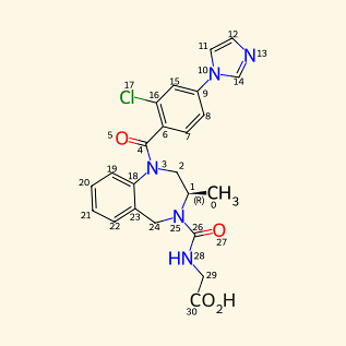 C[C@@H]1CN(C(=O)c2ccc(-n3ccnc3)cc2Cl)c2ccccc2CN1C(=O)NCC(=O)O